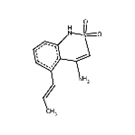 CC=Cc1cccc2c1C(N)=CS(=O)(=O)N2